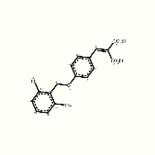 CCOC(=O)C(=Cc1ccc(OCc2c(Cl)cccc2Cl)cc1)C(=O)OCC